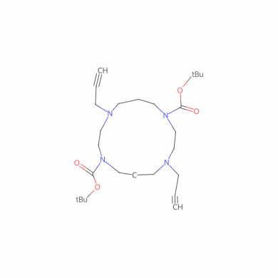 C#CCN1CCCN(C(=O)OC(C)(C)C)CCN(CC#C)CCCN(C(=O)OC(C)(C)C)CC1